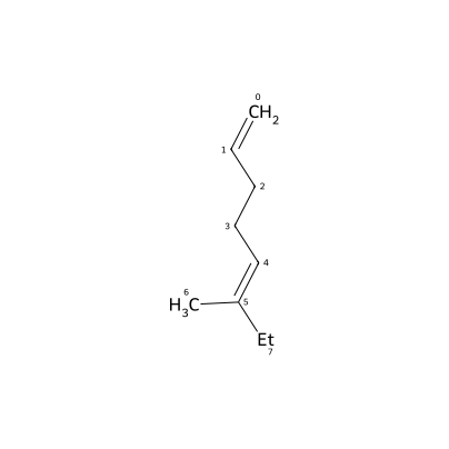 C=CCC/C=C(\C)CC